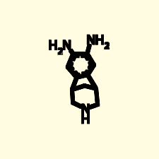 Nc1cc2c(cc1N)C1CNCC2C1